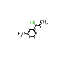 C=CC(Cl)c1cccc(C(F)(F)F)c1